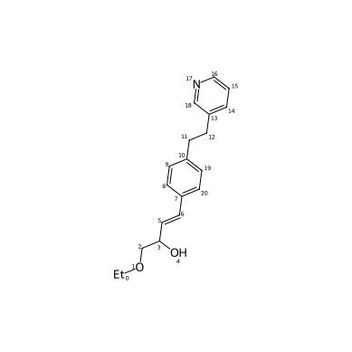 CCOCC(O)C=Cc1ccc(CCc2cccnc2)cc1